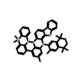 Cc1cc2c3c(c1)N(c1cc4c(cc1C)C(C)(C)CCC4(C)C)c1c(ccc4c1oc1ccccc14)B3N1c3ccccc3[Si](C)(C)c3cccc-2c31